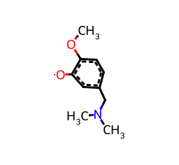 COc1ccc(CN(C)C)cc1[O]